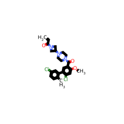 C=CC(=O)N1CC(N2CCN(C(=O)c3cc(-c4cc(Cl)ccc4C)c(Cl)cc3OC)CC2)C1